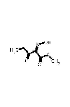 CCC(=O)C(=NO)C(=O)OC